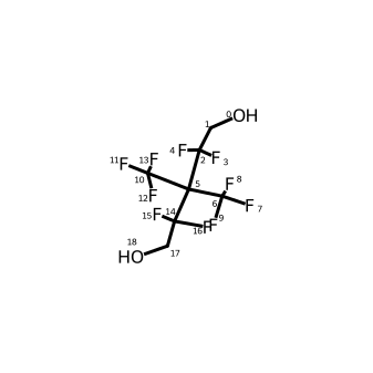 OCC(F)(F)C(C(F)(F)F)(C(F)(F)F)C(F)(F)CO